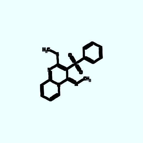 CN=c1c(S(=O)(=O)c2ccccc2)c(SC)nc2ccccn12